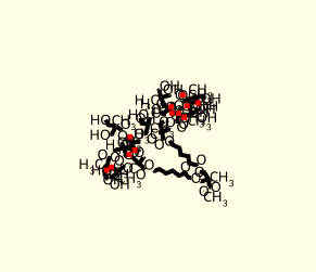 COC(=O)C(C)(COCC(=O)CCCCCOC(=O)C(C)(COC(=O)C(C)(COC(=O)C(C)(CO)CO)COC(=O)C(C)(CO)CO)COC(=O)C(C)(COC(=O)C(C)(CO)CO)COC(=O)C(C)(CO)CO)COC(=O)CCCCCOC(=O)C(C)(COC(=O)C(C)(COC(=O)C(C)(CO)CO)COC(=O)C(C)(CO)CO)COC(=O)C(C)(COC(=O)C(C)(CO)CO)COC(=O)C(C)(CO)CO